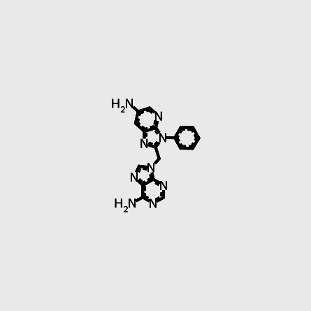 Nc1cnc2c(c1)nc(Cn1cnc3c(N)ncnc31)n2-c1ccccc1